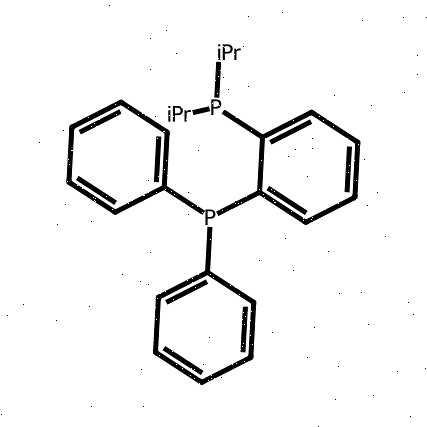 CC(C)P(c1ccccc1P(c1ccccc1)c1ccccc1)C(C)C